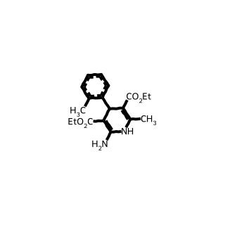 CCOC(=O)C1=C(C)NC(N)=C(C(=O)OCC)C1c1ccccc1C